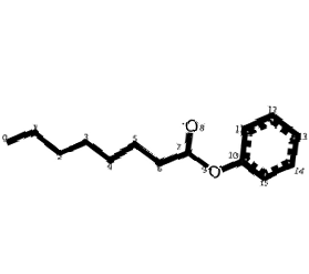 CCCCCCCC([O])Oc1ccccc1